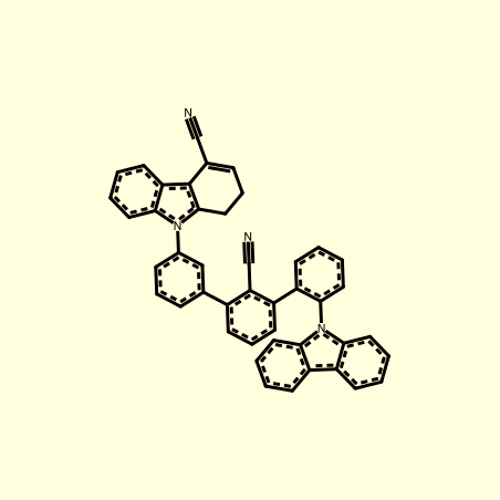 N#CC1=CCCc2c1c1ccccc1n2-c1cccc(-c2cccc(-c3ccccc3-n3c4ccccc4c4ccccc43)c2C#N)c1